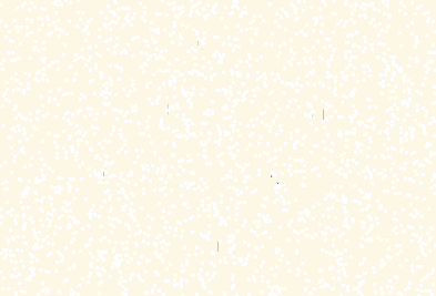 CCN(CC)C(CCCl)CC(C)C